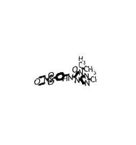 CC(C)n1c(=O)c(NCc2ccc(S(=O)(=O)N3CCOCC3)cc2)nc2cnc(Cl)nc21